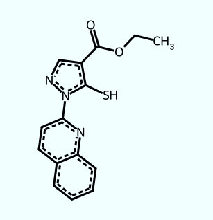 CCOC(=O)c1cnn(-c2ccc3ccccc3n2)c1S